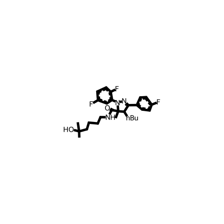 CCCCC1C(c2ccc(F)cc2)=NN(c2cc(F)ccc2F)C1(C)C(=O)NCCCCC(C)(C)O